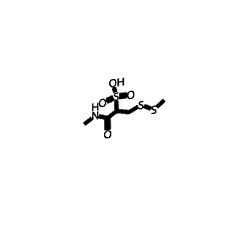 CNC(=O)C(CSSC)S(=O)(=O)O